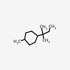 CCC(C)(C)C1CCC(C)CC1